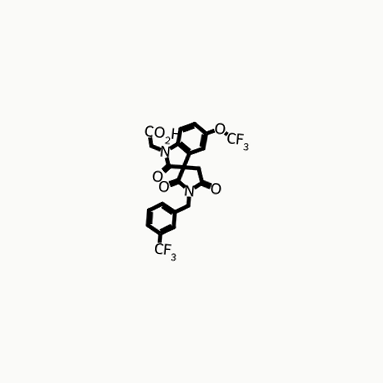 O=C(O)CN1C(=O)C2(CC(=O)N(Cc3cccc(C(F)(F)F)c3)C2=O)c2cc(OC(F)(F)F)ccc21